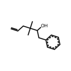 C=CCC(C)(C)C(O)Cc1ccccc1